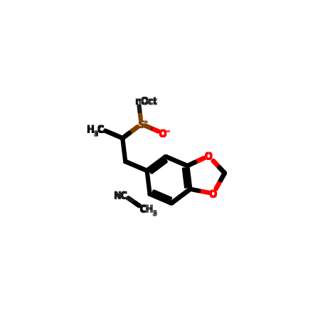 CC#N.CCCCCCCC[S+]([O-])C(C)Cc1ccc2c(c1)OCO2